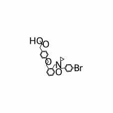 O=C(O)Cc1ccc(OCc2ccccc2CN(C(=O)c2ccc(Br)cc2)C2CC2)cc1